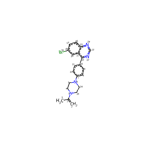 C=C(C)N1CCN(c2ccc(-c3ncnc4ccc(Br)cc34)cc2)CC1